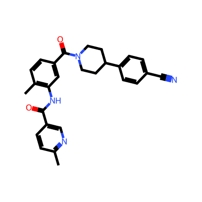 Cc1ccc(C(=O)Nc2cc(C(=O)N3CCC(c4ccc(C#N)cc4)CC3)ccc2C)cn1